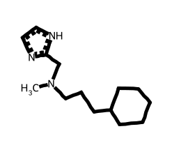 CN(CCCC1CCCCC1)Cc1ncc[nH]1